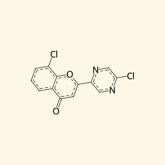 O=c1cc(-c2cnc(Cl)cn2)oc2c(Cl)cccc12